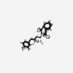 N[C@H](CCN1C(=O)c2ccccc2C1=O)Cc1ccc(F)c(F)c1